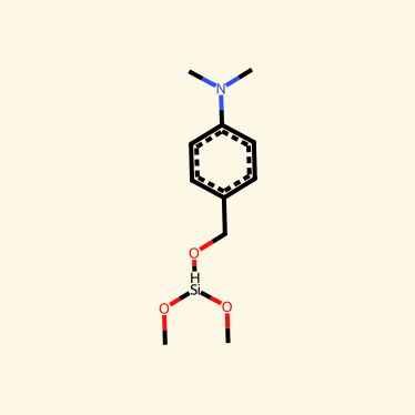 CO[SiH](OC)OCc1ccc(N(C)C)cc1